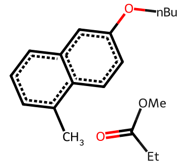 CCC(=O)OC.CCCCOc1ccc2c(C)cccc2c1